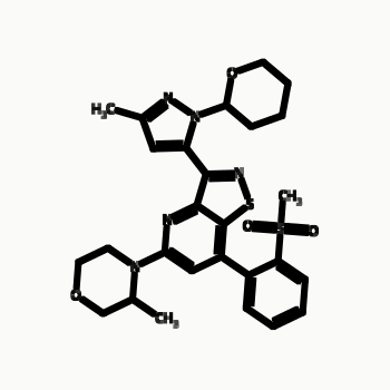 Cc1cc(-c2nsc3c(-c4ccccc4S(C)(=O)=O)cc(N4CCOCC4C)nc23)n(C2CCCCO2)n1